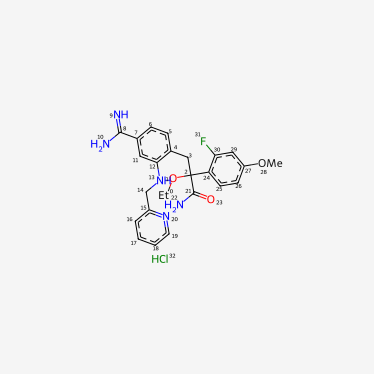 CCOC(Cc1ccc(C(=N)N)cc1NCc1ccccn1)(C(N)=O)c1ccc(OC)cc1F.Cl